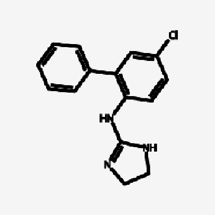 Clc1ccc(NC2=NCCN2)c(-c2ccccc2)c1